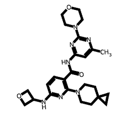 Cc1cc(NC(=O)c2ccc(NC3COC3)nc2N2CCC3(CC2)CC3)nc(N2CCOCC2)n1